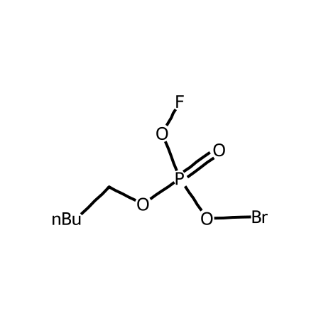 CCCCCOP(=O)(OF)OBr